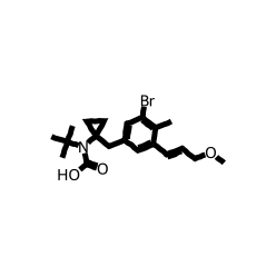 COC/C=C/c1cc(CC2(N(C(=O)O)C(C)(C)C)CC2)cc(Br)c1C